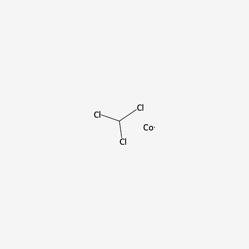 ClC(Cl)Cl.[Co]